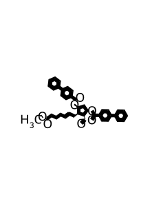 COC(=O)CCCC=CC[C@@H]1[C@@H](C=O)[C@H](OC(=O)c2ccc(-c3ccccc3)cc2)C[C@@H]1OC(=O)c1ccc(-c2ccccc2)cc1